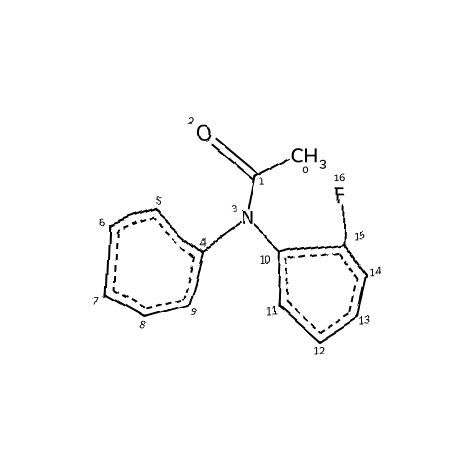 CC(=O)N(c1ccccc1)c1ccccc1F